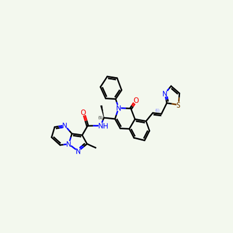 Cc1nn2cccnc2c1C(=O)N[C@@H](C)c1cc2cccc(/C=C/c3nccs3)c2c(=O)n1-c1ccccc1